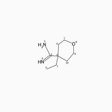 CCC1(C(=N)N)CCOCC1